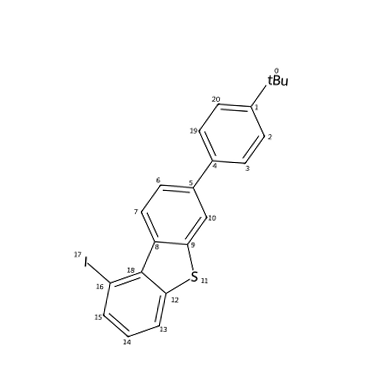 CC(C)(C)c1ccc(-c2ccc3c(c2)sc2cccc(I)c23)cc1